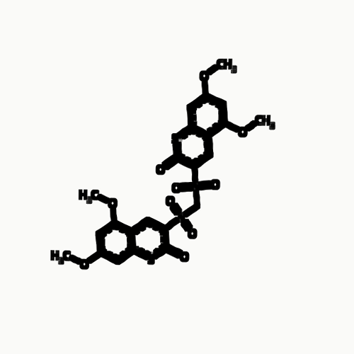 COc1cc(OC)c2cc(S(=O)(=O)CS(=O)(=O)c3cc4c(OC)cc(OC)cc4sc3=O)c(=O)sc2c1